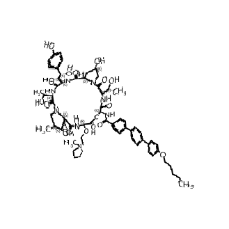 CCCCCOc1ccc(-c2ccc(-c3ccc(C(=O)N[C@H]4C[C@@H](O)[C@@H](OCC[N+]5(C)CCCC5)NC(=O)[C@@H]5[C@@H](O)[C@@H](C)CN5C(=O)[C@H]([C@@H](C)O)NC(=O)[C@H]([C@H](O)[C@@H](O)c5ccc(O)cc5)NC(=O)[C@@H]5C[C@@H](O)CN5C(=O)[C@H]([C@@H](C)O)NC4=O)cc3)cc2)cc1